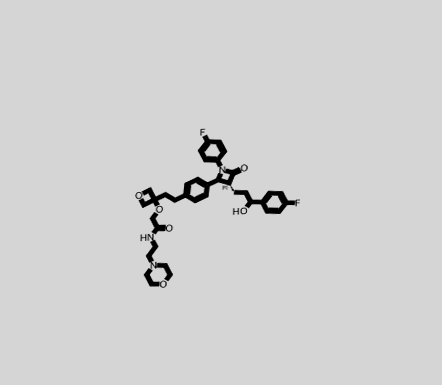 O=C(COC1(CCc2ccc(C3[C@@H](CCC(O)c4ccc(F)cc4)C(=O)N3c3ccc(F)cc3)cc2)COC1)NCCN1CCOCC1